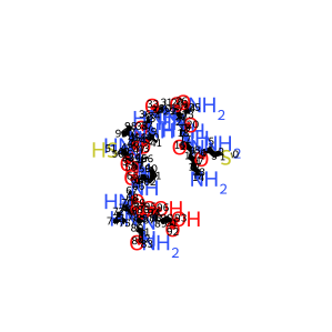 CSCC[C@H](N)C(=O)N[C@@H](CCCCN)C(=O)NCC(=O)N[C@@H](CC(N)=O)C(=O)N[C@@H](C)C(=O)N[C@@H](C)C(=O)N[C@@H](C)C(=O)N[C@H](C(=O)N[C@@H](CS)C(=O)N[C@@H](C)C(=O)N1CCC[C@H]1C(=O)NCC(=O)N[C@@H](CC(C)C)C(=O)N[C@@H](CCC(N)=O)C(=O)N[C@@H](CCC(=O)O)C(=O)O)C(C)C